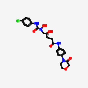 O=C(CC[C@H](O)CN(O)C(=O)Nc1ccc(Cl)cc1)Nc1ccc(N2CCOCC2=O)cc1